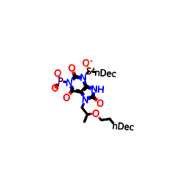 CCCCCCCCCCCCOC(C)Cn1c(=O)[nH]c2c1c(=O)n(P(=O)=O)c(=O)n2[S+]([O-])CCCCCCCCCC